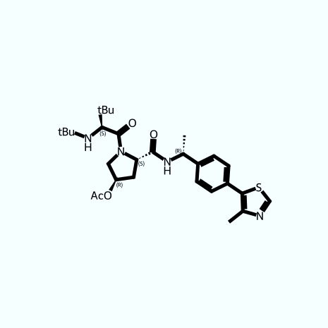 CC(=O)O[C@@H]1C[C@@H](C(=O)N[C@H](C)c2ccc(-c3scnc3C)cc2)N(C(=O)[C@@H](NC(C)(C)C)C(C)(C)C)C1